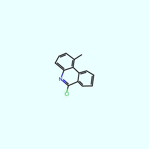 Cc1cccc2nc(Cl)c3ccccc3c12